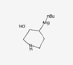 CCC[CH2][Mg][CH]1CCNCC1.Cl